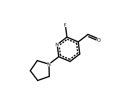 O=Cc1ccc(N2CCCC2)nc1F